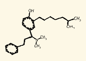 CC(C)CCCCCc1cc(C(CCc2ccccc2)N(C)C)ccc1O